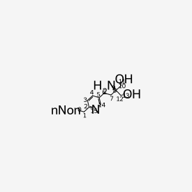 CCCCCCCCCCc1ccc(CCC(N)(CO)CO)cn1